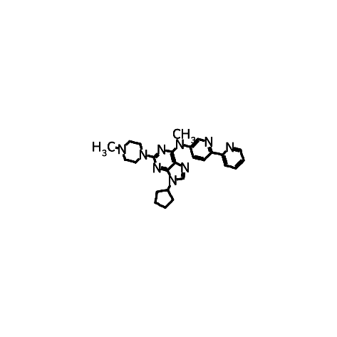 CN1CCN(c2nc(N(C)c3ccc(-c4ccccn4)nc3)c3ncn(C4CCCC4)c3n2)CC1